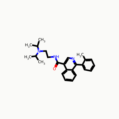 Cc1ccccc1-c1ncc(C(=O)NCCN(C(C)C)C(C)C)c2ccccc12